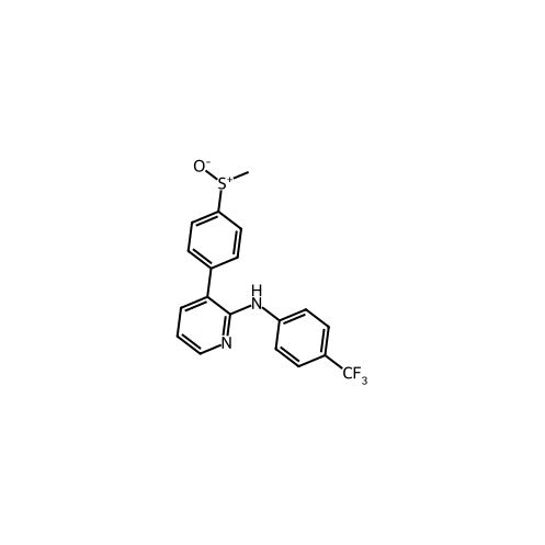 C[S+]([O-])c1ccc(-c2cccnc2Nc2ccc(C(F)(F)F)cc2)cc1